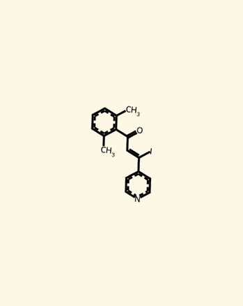 Cc1cccc(C)c1C(=O)/C=C(\I)c1ccncc1